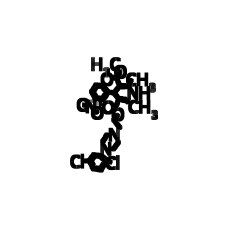 COC(=O)C1=C(C)NC(C)=C(C(=O)OCCN2CCN(c3cc(Cl)ccc3Cl)CC2)C1c1cccc([N+](=O)[O-])c1